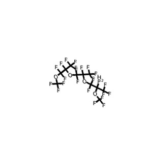 FC(F)(F)OC(F)(F)C(F)(OC(F)(F)C(F)(OC(F)(F)C(P)(OC(F)(F)F)C(F)(F)F)C(F)(F)F)C(F)(F)F